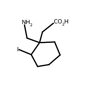 NCC1(CC(=O)O)CCCCC1I